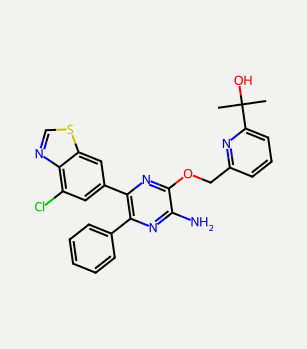 CC(C)(O)c1cccc(COc2nc(-c3cc(Cl)c4ncsc4c3)c(-c3ccccc3)nc2N)n1